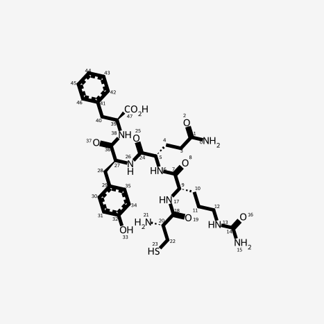 NC(=O)CC[C@H](NC(=O)[C@H](CCCNC(N)=O)NC(=O)[C@@H](N)CS)C(=O)N[C@@H](Cc1ccc(O)cc1)C(=O)N[C@@H](Cc1ccccc1)C(=O)O